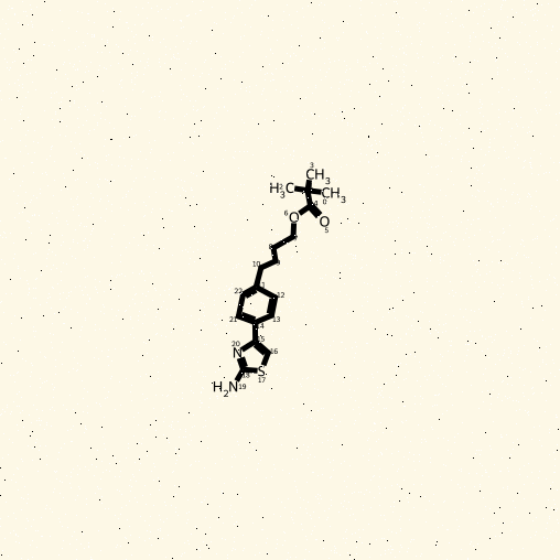 CC(C)(C)C(=O)OCCCCc1ccc(-c2csc(N)n2)cc1